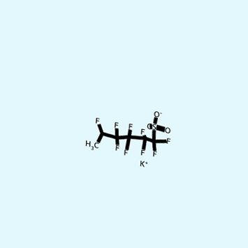 CC(F)C(F)(F)C(F)(F)C(F)(F)C(F)(F)S(=O)(=O)[O-].[K+]